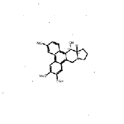 COc1cc2c3c(c4ccc(OC(C)=O)cc4c2cc1OC)[C@H](O)[C@@H]1CCCN1C3